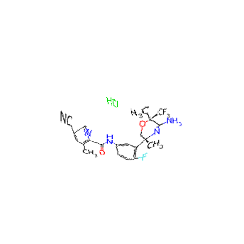 Cc1cc(C#N)cnc1C(=O)Nc1ccc(F)c([C@]2(C)CO[C@@](C)(C(F)(F)F)C(N)=N2)c1.Cl